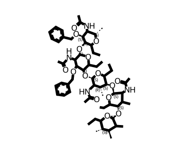 CCC1O[C@@H](O[C@@H]2C(CC)O[C@@H](O[C@@H]3C(CC)O[C@@H](O[C@@H]4C(CC)O[C@@H](C)C(NC(C)=O)[C@@H]4OCc4ccccc4)C(NC(C)=O)C3OCc3ccccc3)C(NC(C)=O)[C@H]2C)C(NC(C)=O)C(C)[C@@H]1O[C@@H]1OC(CC)[C@@H](C)[C@H](C)C1C